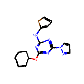 c1csc(Nc2nc(OC3CCCCC3)nc(-n3cccn3)n2)c1